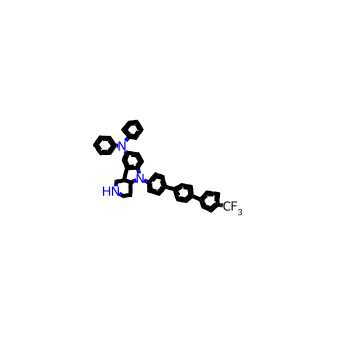 FC(F)(F)c1ccc(-c2ccc(-c3ccc(N4c5ccc(N(c6ccccc6)c6ccccc6)cc5C5CNCCC54)cc3)cc2)cc1